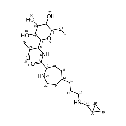 CSC1OC(C(NC(=O)C2CCC(CCCNC3C4CC43)CCN2)C(C)Cl)C(O)C(O)C1O